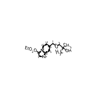 CCOC(=O)c1cnc2cc(COCC(C)(C)O)ccn12